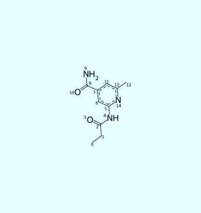 CCC(=O)Nc1cc(C(N)=O)cc(C)n1